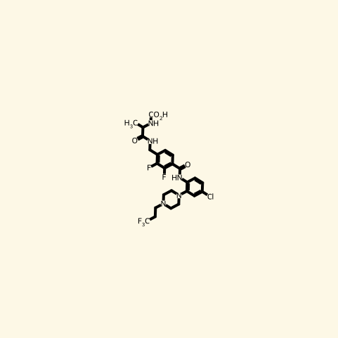 CC(NC(=O)O)C(=O)NCc1ccc(C(=O)Nc2ccc(Cl)cc2N2CCN(CCC(F)(F)F)CC2)c(F)c1F